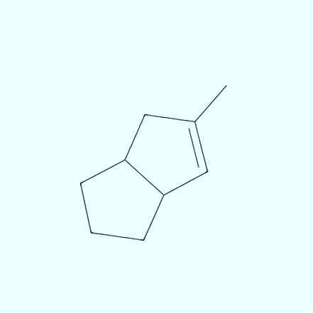 CC1=CC2CCCC2C1